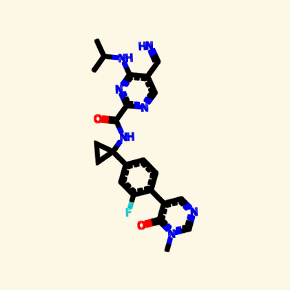 CC(C)Nc1nc(C(=O)NC2(c3ccc(-c4cncn(C)c4=O)c(F)c3)CC2)ncc1C=N